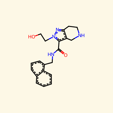 O=C(NCc1cccc2ccccc12)c1c2c(nn1CCO)CCNC2